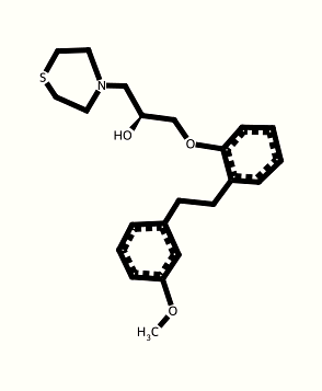 COc1cccc(CCc2ccccc2OC[C@@H](O)CN2CCSCC2)c1